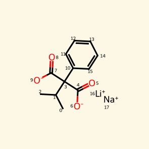 CC(C)C(C(=O)[O-])(C(=O)[O-])c1ccccc1.[Li+].[Na+]